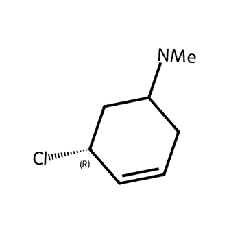 CNC1CC=C[C@H](Cl)C1